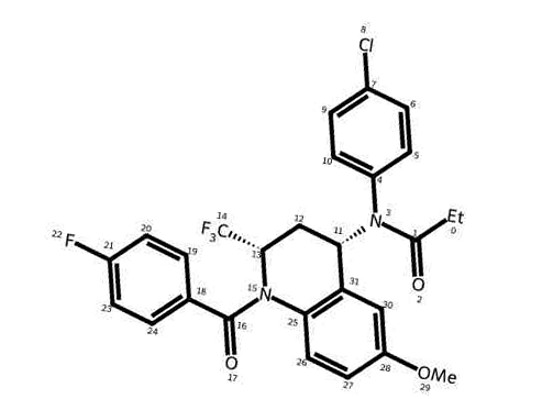 CCC(=O)N(c1ccc(Cl)cc1)[C@H]1C[C@@H](C(F)(F)F)N(C(=O)c2ccc(F)cc2)c2ccc(OC)cc21